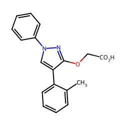 Cc1ccccc1-c1cn(-c2ccccc2)nc1OCC(=O)O